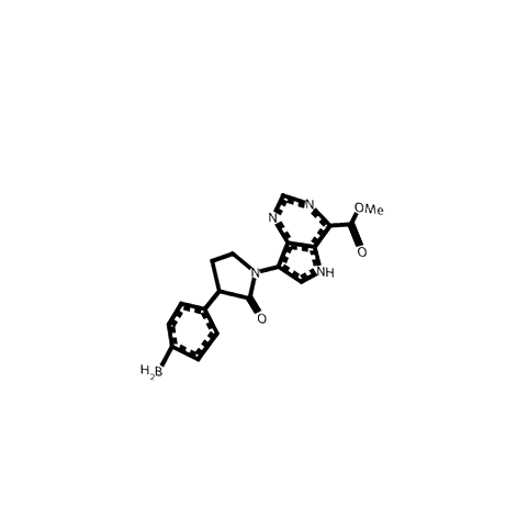 Bc1ccc(C2CCN(c3c[nH]c4c(C(=O)OC)ncnc34)C2=O)cc1